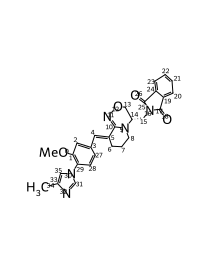 COc1cc(/C=C2\CCCN3C2=NOC[C@@H]3CN2C(=O)c3ccccc3C2=O)ccc1-n1cnc(C)c1